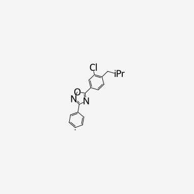 CC(C)Cc1ccc(-c2nc(-c3cc[c]cc3)no2)cc1Cl